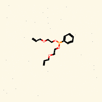 C=CCOCCOP(OCCOCC=C)c1ccccc1